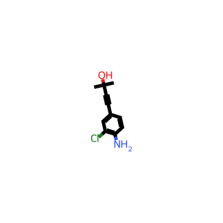 CC(C)(O)C#Cc1ccc(N)c(Cl)c1